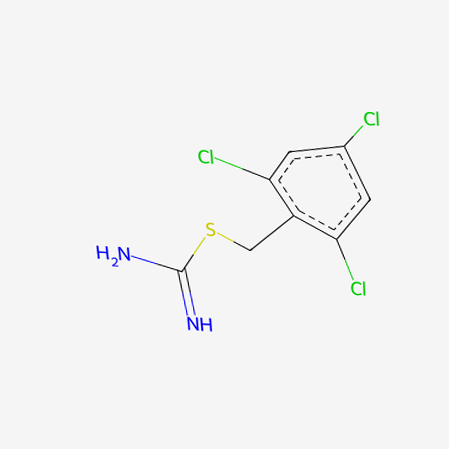 N=C(N)SCc1c(Cl)cc(Cl)cc1Cl